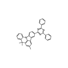 Cc1cc2c3c(c1)c1cc(-c4nc(-c5ccccc5)nc(-c5ccccc5)n4)ccc1n3-c1ccccc1C2(C)C